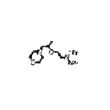 CCCN(CCC)CCOC(C)CN1CCOCC1